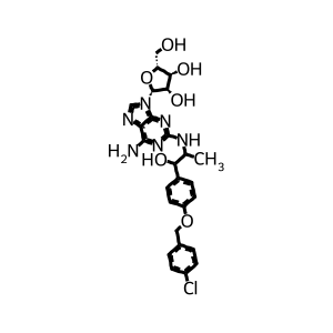 CC(Nc1nc(N)c2ncn([C@@H]3O[C@H](CO)[C@@H](O)[C@H]3O)c2n1)C(O)c1ccc(OCc2ccc(Cl)cc2)cc1